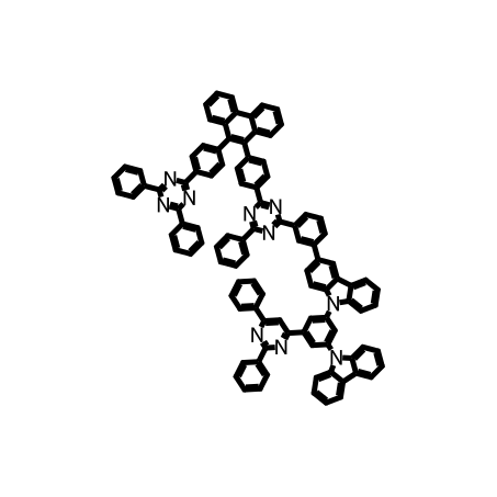 c1ccc(-c2cc(-c3cc(-n4c5ccccc5c5ccccc54)cc(-n4c5ccccc5c5cc(-c6cccc(-c7nc(-c8ccccc8)nc(-c8ccc(-c9c(-c%10ccc(-c%11nc(-c%12ccccc%12)nc(-c%12ccccc%12)n%11)cc%10)c%10ccccc%10c%10ccccc9%10)cc8)n7)c6)ccc54)c3)nc(-c3ccccc3)n2)cc1